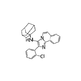 Clc1ccccc1-c1nc2c3ccccc3ccn2c1NC12CC3CC(CC(C3)C1)C2